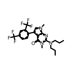 CCCN(CCC)c1nc2c(c(-c3ccc(C(F)(F)F)cc3C(F)(F)F)cn2C)c(=O)n1C